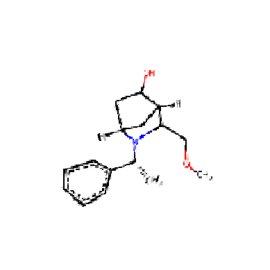 COCC1[C@@H]2C[C@@H](CC2O)N1[C@H](C)c1ccccc1